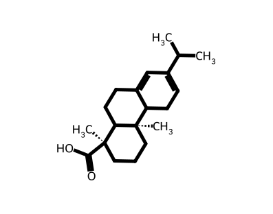 CC(C)C1=CCC2C(=C1)CCC1[C@]2(C)CCC[C@@]1(C)C(=O)O